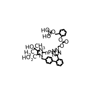 CCCc1nc(C(C)(C)O)c(C(=O)O)n1Cc1ccc(-c2ccccc2-c2nnn(COC(=O)Oc3ccccc3CON(O)O)n2)cc1